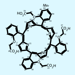 O=C(O)COc1ccccc1-c1c2nc(c(-c3ccccc3OCC(=O)O)c3ccc([nH]3)c(-c3ccccc3OCC(=O)O)c3nc(c(-c4ccccc4OCC(=O)O)c4ccc1[nH]4)C=C3)C=C2.[Mn]